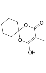 CC1=C(O)OC2(CCCCC2)OC1=O